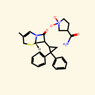 CC1=CN2C(=O)C(C3CC3(c3ccccc3)c3ccccc3)[C@@H]2SC1.NC(=O)C1CC[N+]([O-])([O-])C1